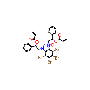 C=CC(=O)OC(CN1C[N+]([O-])(CC(OC(=O)C=C)c2ccccc2)c2c(Br)c(Br)c(Br)c(Br)c21)c1ccccc1